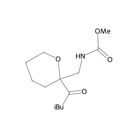 CCC(C)C(=O)C1(CNC(=O)OC)CCCCO1